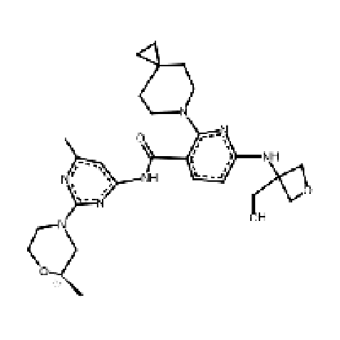 Cc1cc(NC(=O)c2ccc(NC3(CO)COC3)nc2N2CCC3(CC2)CC3)nc(N2CCO[C@H](C)C2)n1